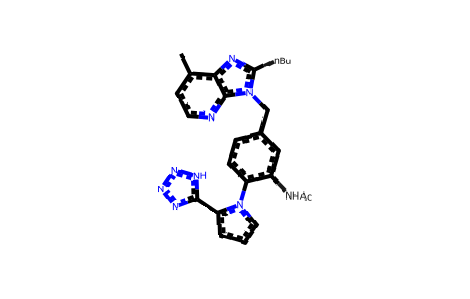 CCCCc1nc2c(C)ccnc2n1Cc1ccc(-n2cccc2-c2nnn[nH]2)c(NC(C)=O)c1